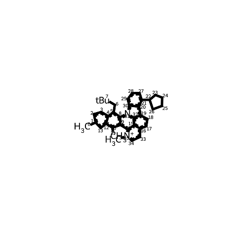 Cc1ccc2c(CC(C)(C)C)c3c(c(C)c2c1)c1c2c(ccc4c5c(C6CCCC6)cccc5n3c42)cc[n+]1C